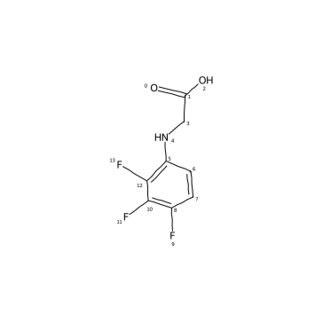 O=C(O)CNc1ccc(F)c(F)c1F